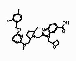 Cc1ccc(COc2cccc(N(C)CC3CCC(C)N3Cc3nc4ccc(C(=O)O)cc4n3CC3CCO3)n2)c(F)c1